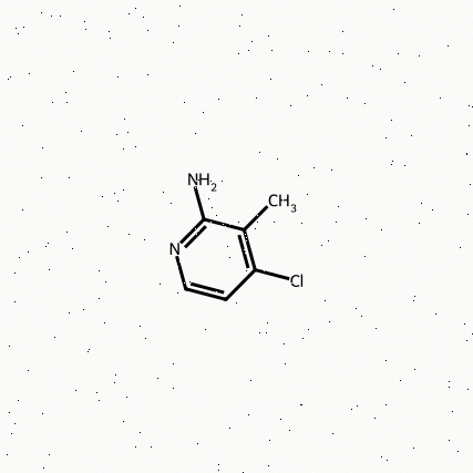 Cc1c(Cl)ccnc1N